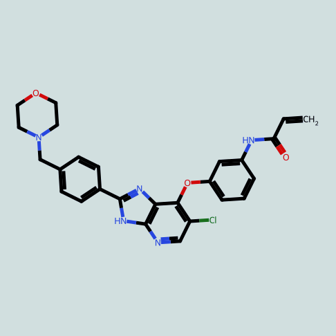 C=CC(=O)Nc1cccc(Oc2c(Cl)cnc3[nH]c(-c4ccc(CN5CCOCC5)cc4)nc23)c1